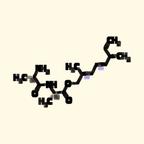 C=CC(=C)/C=C/C=C(\C)COC(=O)[C@H](C)NC(=O)[C@H](C)N